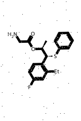 CCc1cc(F)ccc1[C@@H](Sc1ccccc1)[C@H](C)OC(=O)CN